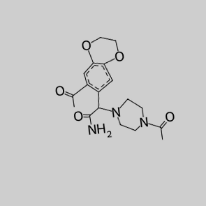 CC(=O)c1cc2c(cc1C(C(N)=O)N1CCN(C(C)=O)CC1)OCCO2